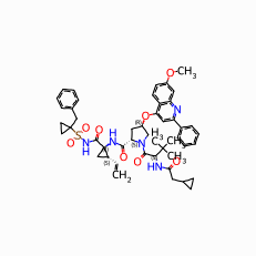 C=C[C@@H]1C[C@]1(NC(=O)[C@@H]1C[C@@H](Oc2cc(-c3ccccc3)nc3cc(OC)ccc23)CN1C(=O)[C@@H](NC(=O)CC1CC1)C(C)(C)C)C(=O)NS(=O)(=O)C1(Cc2ccccc2)CC1